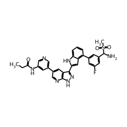 CCC(=O)Nc1cncc(-c2cnc3[nH]nc(-c4cc5c(-c6cc(F)cc(C(N)S(C)(=O)=O)c6)cccc5[nH]4)c3c2)c1